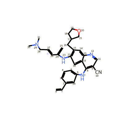 C=Cc1cccc(Nc2c(C#N)cnc3cc(CC4CCOC4)c(NC(=C)/C=C/CN(C)C)cc23)c1